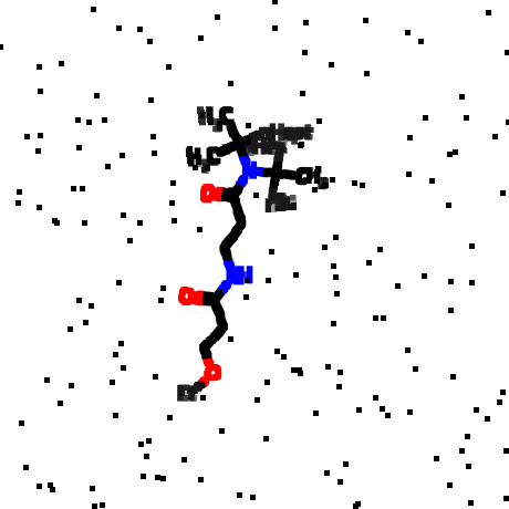 CCCCCCCC(C)(C)N(C(=O)CCNC(=O)CCOCC)C(C)(CCCC)CCCCCC